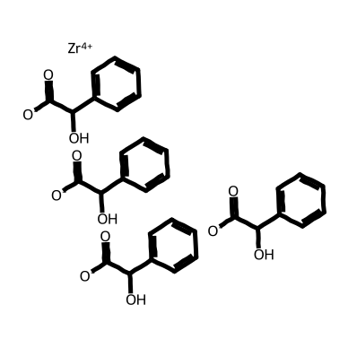 O=C([O-])C(O)c1ccccc1.O=C([O-])C(O)c1ccccc1.O=C([O-])C(O)c1ccccc1.O=C([O-])C(O)c1ccccc1.[Zr+4]